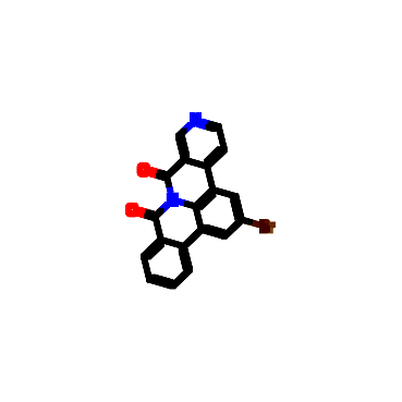 O=c1c2ccccc2c2cc(Br)cc3c4ccncc4c(=O)n1c23